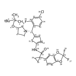 CC(C)(C)[Si](C)(C)OC1CCN([C@@H](c2cnc(NC(=O)C3(c4ccc5c(c4)OC(F)(F)O5)CC3)s2)c2ccc(Cl)cc2F)C1